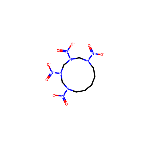 O=[N+]([O-])N1CCCCCN([N+](=O)[O-])CN([N+](=O)[O-])CN([N+](=O)[O-])C1